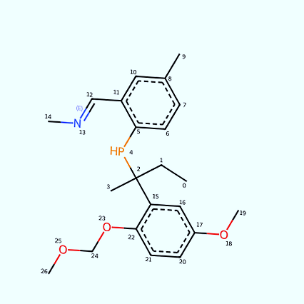 CCC(C)(Pc1ccc(C)cc1/C=N/C)c1cc(OC)ccc1OCOC